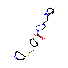 O=C(Oc1ccc(CCSc2ccncc2)cc1)N1CCN(CCc2ccccn2)CC1